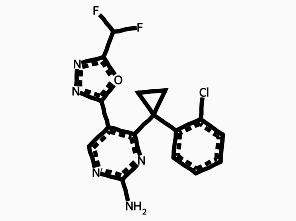 Nc1ncc(-c2nnc(C(F)F)o2)c(C2(c3ccccc3Cl)CC2)n1